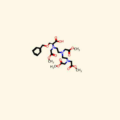 COC(=O)CN(CCN(CC(=O)OC)CC(=O)OC)CCN(CC(=O)OC)[C@@H](COCc1ccccc1)C(=O)O